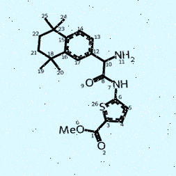 COC(=O)c1ccc(NC(=O)C(N)c2ccc3c(c2)C(C)(C)CCC3(C)C)s1